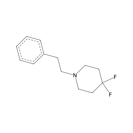 FC1(F)CCN(CCc2ccccc2)CC1